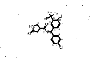 O=C1CC(C(=O)NC(c2ccc(Cl)cc2)c2ccc(Cl)c(C(F)(F)F)c2)CN1